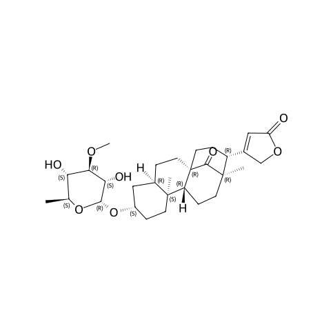 CO[C@H]1[C@H](O)[C@H](O[C@H]2CC[C@@]3(C)[C@H](CC[C@@]45CC[C@H](C6=CC(=O)OC6)[C@@](C)(CC[C@@H]43)C5=O)C2)O[C@@H](C)[C@@H]1O